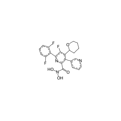 O=C(c1nc(-c2c(F)cccc2F)c(F)c(C2CCCCO2)c1-c1cccnc1)N(O)O